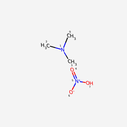 CN(C)C.O=[N+]([O-])O